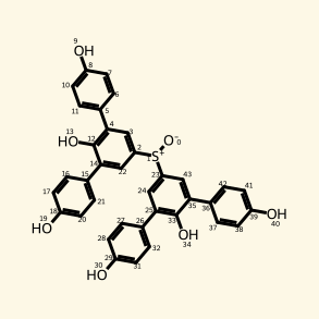 [O-][S+](c1cc(-c2ccc(O)cc2)c(O)c(-c2ccc(O)cc2)c1)c1cc(-c2ccc(O)cc2)c(O)c(-c2ccc(O)cc2)c1